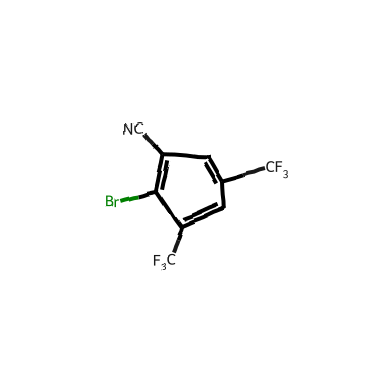 N#Cc1cc(C(F)(F)F)cc(C(F)(F)F)c1Br